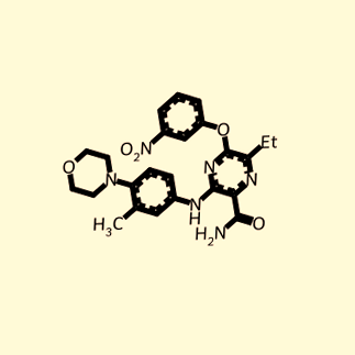 CCc1nc(C(N)=O)c(Nc2ccc(N3CCOCC3)c(C)c2)nc1Oc1cccc([N+](=O)[O-])c1